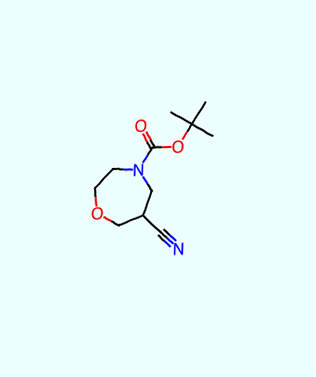 CC(C)(C)OC(=O)N1CCOCC(C#N)C1